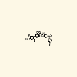 CCc1cc(O)c(F)cc1-c1ccc2c(-c3nc4c([nH]3)CN(C(=O)N3CCNCC3)C4)n[nH]c2c1